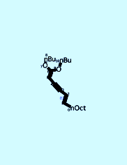 CCCCCCCC/C=C/C#CC=C(OCCCC)OCCCC